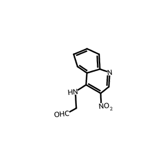 O=CCNc1c([N+](=O)[O-])cnc2ccccc12